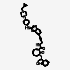 O=C(NCC#Cc1ccc2ncc(N[C@H]3CC[C@H](N4CCN(CC5CC5)CC4)CC3)nc2c1)/C1=C/C=C\CC[C@H](C[C@H](CO)c2ccccc2)C1=O